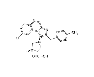 Cc1cnc(Cc2nc3cnc4ccc(Cl)cc4c3n2[C@H]2CC[C@@H](F)C2)cn1.O=CO